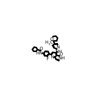 CC1(c2ccc(Nc3cc(-c4ccc(NC(=O)C5CCCCC5)cc4F)nc4cc[nH]c(=O)c34)nc2)CCCCO1